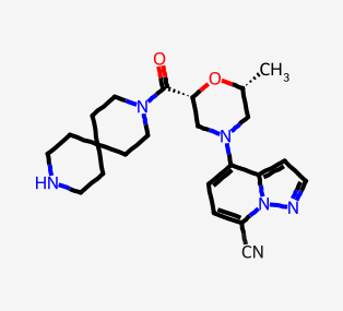 C[C@@H]1CN(c2ccc(C#N)n3nccc23)C[C@H](C(=O)N2CCC3(CCNCC3)CC2)O1